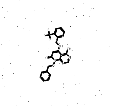 Cc1ncnc2c1c(NCc1ccccc1C(F)(F)F)cc(=O)n2OCc1ccccc1